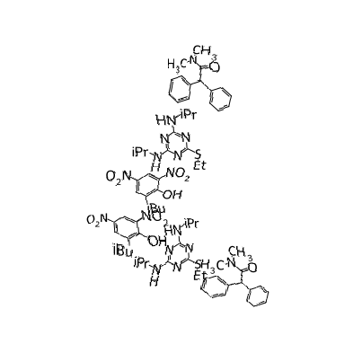 CCC(C)c1cc([N+](=O)[O-])cc([N+](=O)[O-])c1O.CCC(C)c1cc([N+](=O)[O-])cc([N+](=O)[O-])c1O.CCSc1nc(NC(C)C)nc(NC(C)C)n1.CCSc1nc(NC(C)C)nc(NC(C)C)n1.CN(C)C(=O)C(c1ccccc1)c1ccccc1.CN(C)C(=O)C(c1ccccc1)c1ccccc1